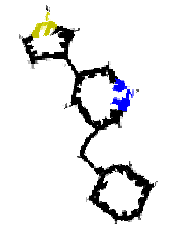 c1ccc(Cc2cncc(-c3ccsc3)c2)cc1